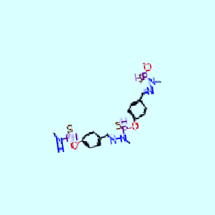 CN[PH](=S)Oc1ccc(/C=N/N(C)[PH](=S)Oc2ccc(/C=N/N(C)[PH](=S)OC)cc2)cc1